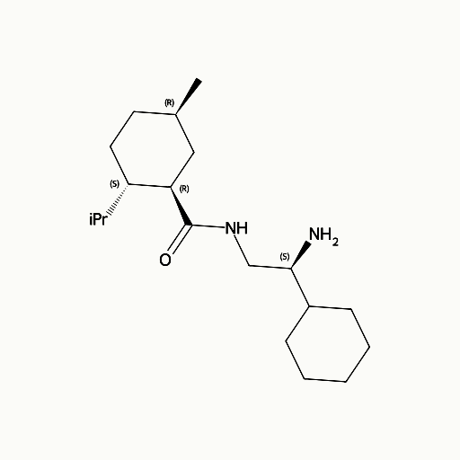 CC(C)[C@@H]1CC[C@@H](C)C[C@H]1C(=O)NC[C@@H](N)C1CCCCC1